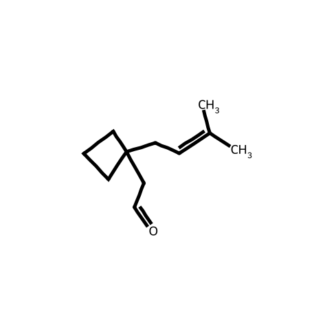 CC(C)=CCC1(CC=O)CCC1